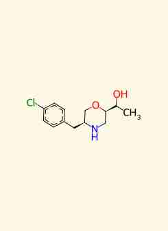 CC(O)[C@H]1CN[C@@H](Cc2ccc(Cl)cc2)CO1